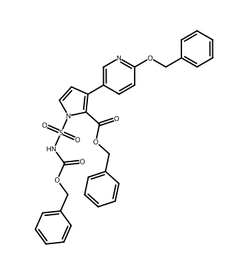 O=C(NS(=O)(=O)n1ccc(-c2ccc(OCc3ccccc3)nc2)c1C(=O)OCc1ccccc1)OCc1ccccc1